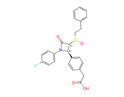 O=C(O)Cc1ccc([C@@H]2[C@H]([S+]([O-])CCc3ccccc3)C(=O)N2c2ccc(F)cc2)cc1